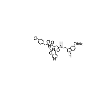 COc1ccc2[nH]cc(CCNC(=O)CC3C(=O)N(C(Cl)Cc4ccc(Cl)cc4)CC(=O)N3Cc3ccncc3)c2c1